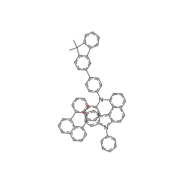 CC1(C)c2ccccc2-c2cc(-c3ccc(N(c4ccc(-c5cccc6cccc(-c7ccccc7)c56)cc4)c4cccc5ccc6c(c7ccccc7n6-c6ccccc6)c45)cc3)ccc21